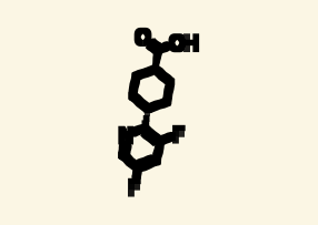 O=C(O)[C@H]1CC[C@H](c2ncc(F)cc2F)CC1